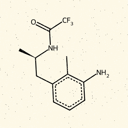 Cc1c(N)cccc1C[C@@H](C)NC(=O)C(F)(F)F